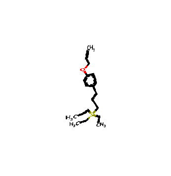 C=CCOc1ccc(CCCS(CC)(CC)CC)cc1